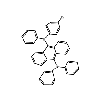 Brc1ccc(N(c2ccccc2)c2c3ccccc3c(N(c3ccccc3)c3ccccc3)c3ccccc23)cc1